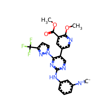 [C-]#[N+]c1cccc(Nc2ncc(-c3cnc(OC)c(C(=O)OC)c3)c(-n3ccc(C(F)(F)F)n3)n2)c1